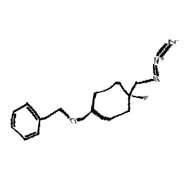 [N-]=[N+]=NC[C@]1(F)CC[C@@H](OCc2ccccc2)CC1